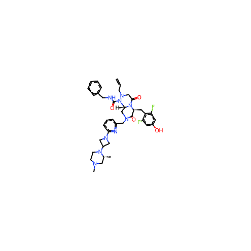 C=CCN1CC(=O)N2[C@@H](Cc3c(F)cc(O)cc3F)C(=O)N(Cc3cccc(N4CC(N5CCN(C)C[C@@H]5C)C4)n3)C[C@@H]2N1C(=O)NCc1ccccc1